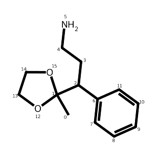 CC1(C(CCN)c2ccccc2)OCCO1